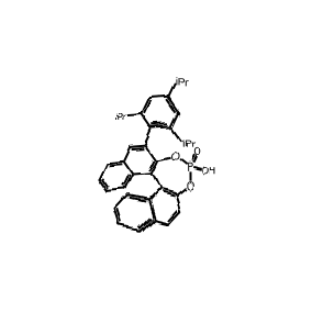 CC(C)c1cc(C(C)C)c(-c2cc3ccccc3c3c2OP(=O)(O)Oc2ccc4ccccc4c2-3)c(C(C)C)c1